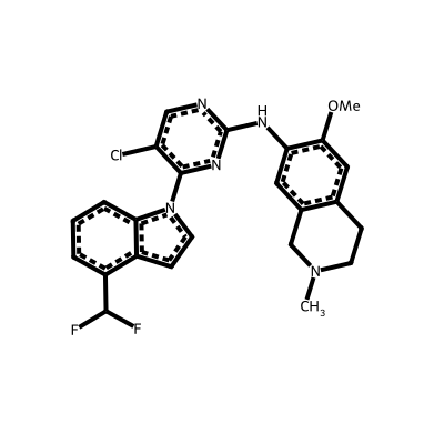 COc1cc2c(cc1Nc1ncc(Cl)c(-n3ccc4c(C(F)F)cccc43)n1)CN(C)CC2